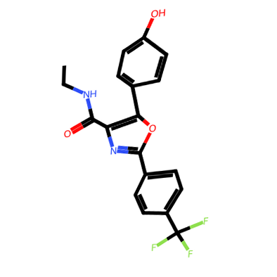 CCNC(=O)c1nc(-c2ccc(C(F)(F)F)cc2)oc1-c1ccc(O)cc1